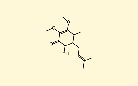 COC1=C(OC)C(C)C(CC=C(C)C)C(O)C1=O